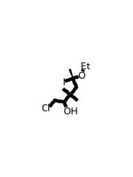 CCO[C@@](C)(I)CC(C)(C)C(O)CCl